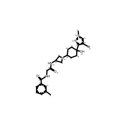 Cc1cccc(C(=O)NCC(=O)NC2CN(C3CCC(O)(c4nn(C)cc4Br)CC3)C2)c1